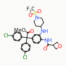 COC(=O)C(c1ccc(Cl)cc1)(c1ccc(Cl)cc1)c1ccc(NC(=O)C2COC2)c(NC2CCN(S(=O)(=O)C(F)(F)F)CC2)c1